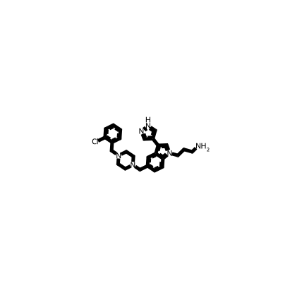 NCCCn1cc(-c2cn[nH]c2)c2cc(CN3CCN(Cc4ccccc4Cl)CC3)ccc21